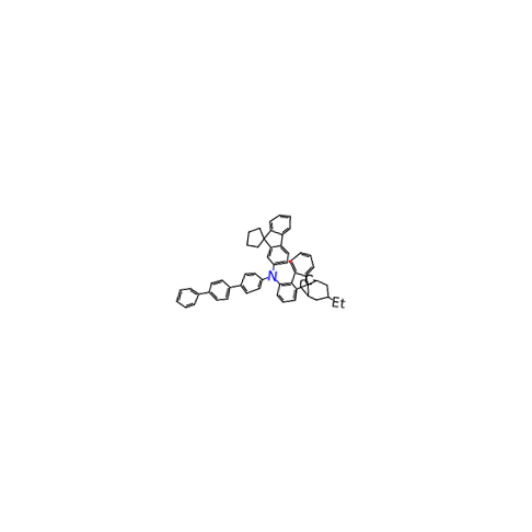 CCC1CC2CCCC(C1)C21c2ccccc2-c2c(N(c3ccc(-c4ccc(-c5ccccc5)cc4)cc3)c3ccc4c(c3)C3(CCCC3)c3ccccc3-4)cccc21